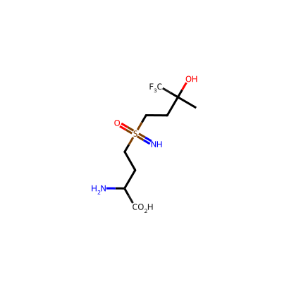 CC(O)(CCS(=N)(=O)CCC(N)C(=O)O)C(F)(F)F